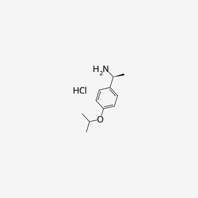 CC(C)Oc1ccc([C@H](C)N)cc1.Cl